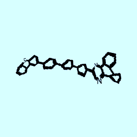 c1ccc2c(c1)sc1ccc(-c3ccc(-c4ccc(-c5ccc(-c6cnc7c8ccccc8c8ccccc8c7n6)cc5)cc4)cc3)cc12